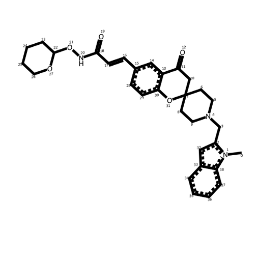 Cn1c(CN2CCC3(CC2)CC(=O)c2cc(/C=C/C(=O)NOC4CCCCO4)ccc2O3)cc2ccccc21